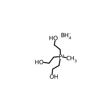 C[P+](CCO)(CCO)CCO.[BH4-]